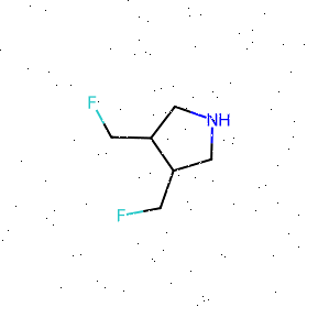 FCC1CNCC1CF